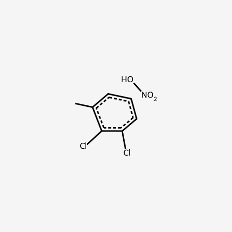 Cc1cccc(Cl)c1Cl.O=[N+]([O-])O